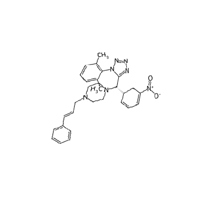 Cc1cccc(C)c1-n1nnnc1[C@H](C1C=CC=C([N+](=O)[O-])C1)N1CCN(C/C=C/c2ccccc2)CC1